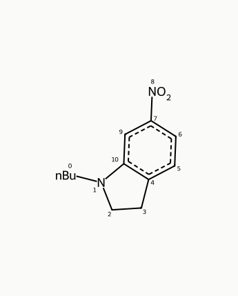 CCCCN1CCc2ccc([N+](=O)[O-])cc21